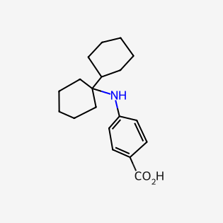 O=C(O)c1ccc(NC2(C3CCCCC3)CCCCC2)cc1